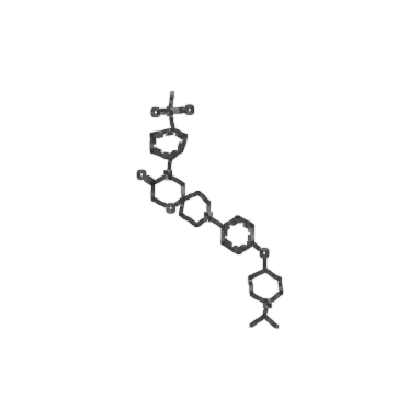 CC(C)N1CCC(Oc2ccc(N3CCC4(CC3)CN(c3ccc(S(C)(=O)=O)cc3)C(=O)CO4)cc2)CC1